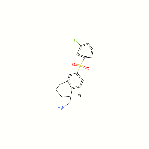 CCC1(CN)CCCc2cc(S(=O)(=O)c3cccc(F)c3)ccc21